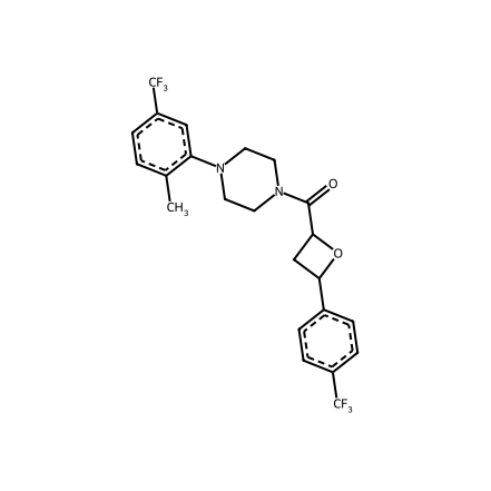 Cc1ccc(C(F)(F)F)cc1N1CCN(C(=O)C2CC(c3ccc(C(F)(F)F)cc3)O2)CC1